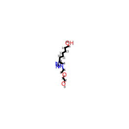 COCCOCCn1cc(CCCCCCO)nn1